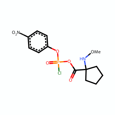 CONC1(C(=O)OP(=O)(Cl)Oc2ccc([N+](=O)[O-])cc2)CCCC1